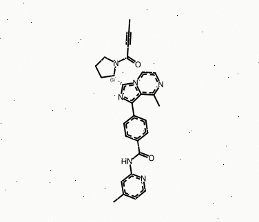 CC#CC(=O)N1CCC[C@H]1c1nc(-c2ccc(C(=O)Nc3cc(C)ccn3)cc2)c2c(C)nccn12